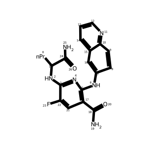 CCCC(Nc1nc(Nc2ccc3ncccc3c2)c(C(N)=O)cc1F)C(N)=O